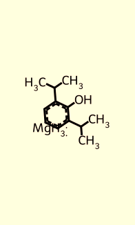 CC(C)c1cccc(C(C)C)c1O.[MgH3]